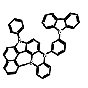 c1ccc(-n2c3ccc4c5c3c3c6c(cccc6ccc32)B5c2ccccc2N4c2cccc(-n3c4ccccc4c4ccccc43)c2)cc1